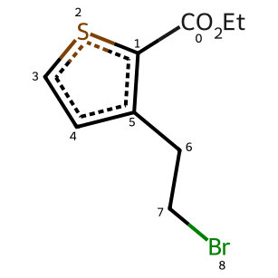 CCOC(=O)c1sccc1CCBr